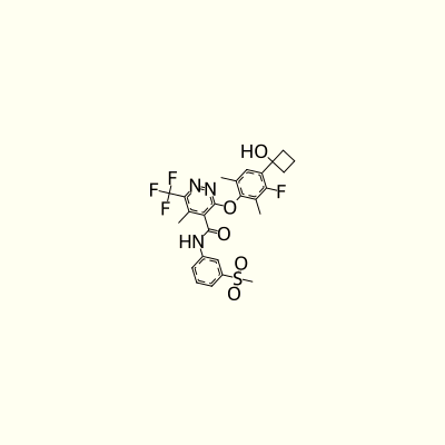 Cc1cc(C2(O)CCC2)c(F)c(C)c1Oc1nnc(C(F)(F)F)c(C)c1C(=O)Nc1cccc(S(C)(=O)=O)c1